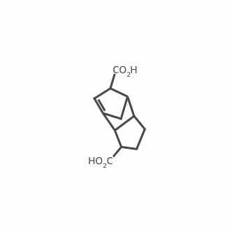 O=C(O)C1C=C2CC1C1CCC(C(=O)O)C21